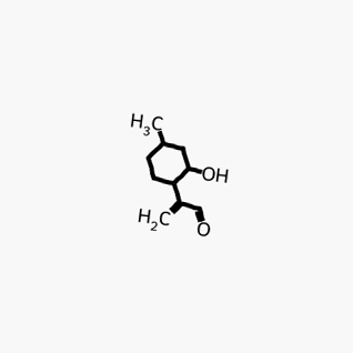 C=C(C=O)C1CCC(C)CC1O